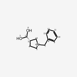 OC(O)[C@H]1CCN(Cc2ccccc2)C1